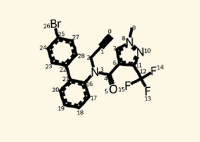 C#CCN(C(=O)c1cn(C)nc1C(F)(F)F)c1ccccc1-c1ccc(Br)cc1